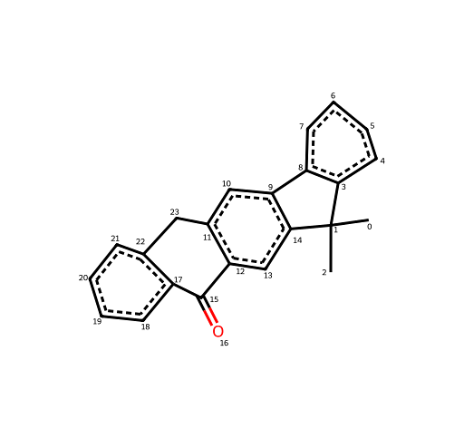 CC1(C)c2ccccc2-c2cc3c(cc21)C(=O)c1ccccc1C3